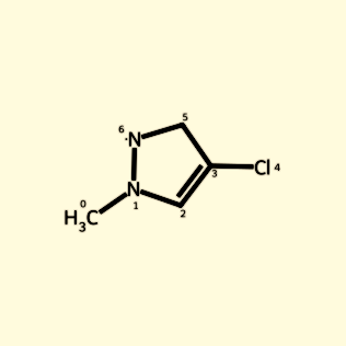 CN1C=C(Cl)C[N]1